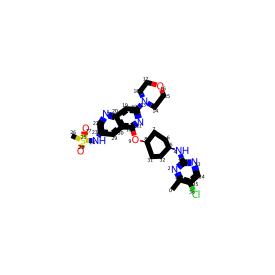 Cc1nc(N[C@H]2CC[C@@H](Oc3nc(N4CCOCC4)cc4ncc(NS(C)(=O)=O)cc34)CC2)ncc1Cl